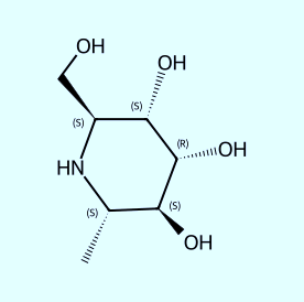 C[C@@H]1N[C@@H](CO)[C@H](O)[C@H](O)[C@H]1O